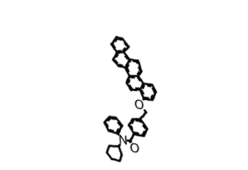 O=C(c1ccc(COc2cccc3c2ccc2c3ccc3c4ccccc4ccc32)cc1)N(c1ccccc1)C1CCCCC1